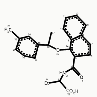 CCC(NC(=O)c1ccc2ccccc2c1OC(C)c1cccc(C(F)(F)F)c1)C(=O)O